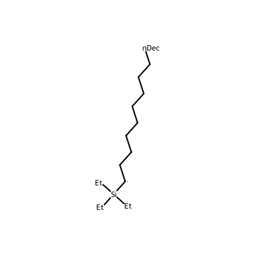 CCCCCCCCCCCCCCCCCC[CH][Si](CC)(CC)CC